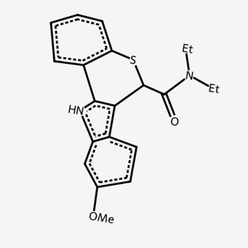 CCN(CC)C(=O)C1Sc2ccccc2-c2[nH]c3cc(OC)ccc3c21